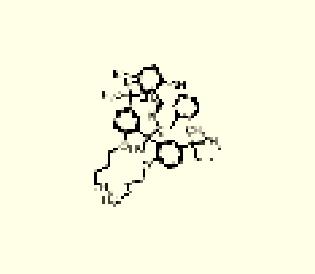 CCCCOc1ccc(C(C)(C)C)cc1C(O)(c1cc(C(C)(C)C)ccc1OCCCC)[C@@H](Cc1ccccc1)N=Cc1cc(Br)ccc1O